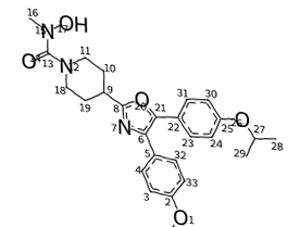 COc1ccc(-c2nc(C3CCN(C(=O)N(C)O)CC3)oc2-c2ccc(OC(C)C)cc2)cc1